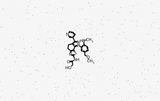 CBc1ccc(COC)cc1-n1nc(-c2cccnc2)c2c1-c1sc(NC(=O)CO)nc1CC2